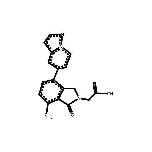 C=C(C#N)CN1Cc2c(-c3ccn4nccc4c3)ccc(N)c2C1=O